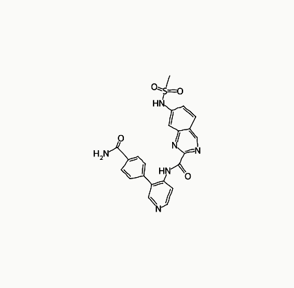 CS(=O)(=O)Nc1ccc2cnc(C(=O)Nc3ccncc3-c3ccc(C(N)=O)cc3)nc2c1